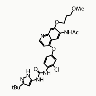 COCCCOc1cc2nccc(Oc3ccc(NC(=O)Nc4cc(C(C)(C)C)n[nH]4)c(Cl)c3)c2cc1NC(C)=O